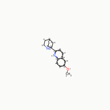 COc1ccc2nc(C3CC4CCN3CC4)ccc2c1